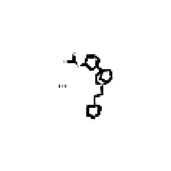 Br.CCC(=O)Oc1cccc(C23CCC(C2)N(CCc2ccccc2)CC3)c1